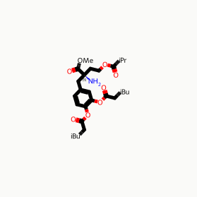 CCC(C)CC(=O)Oc1ccc(C[C@](N)(CCOC(=O)C(C)C)C(=O)OC)cc1OC(=O)CC(C)CC